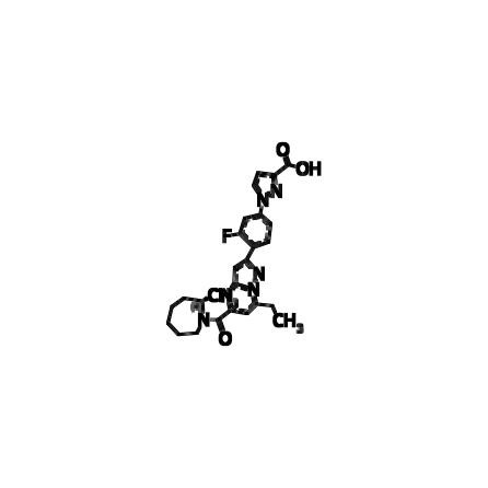 CCc1cc(C(=O)N2CCCCC[C@H]2C)nc2cc(-c3ccc(-n4ccc(C(=O)O)n4)cc3F)nn12